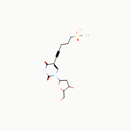 CP(=O)(O)CCCC#Cc1cn(C2CC(O)C(CO)O2)c(=O)[nH]c1=O